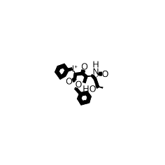 CC(C(=O)[C@@H]([I+]c1ccccc1)C(=O)OCc1ccccc1)[C@H]1NC(=O)[C@@H]1[C@@H](C)O